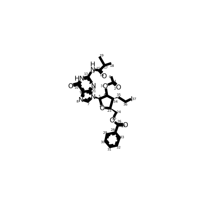 CC(=O)OC1[C@H](n2cnc3c(=O)[nH]c(NC(=O)C(C)C)nc32)O[C@H](COC(=O)c2ccccc2)[C@H]1CCI